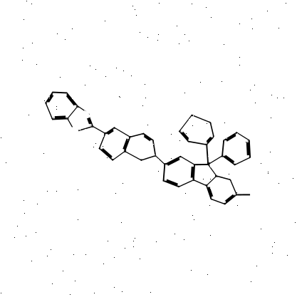 CC1=CC=C2c3ccc(C4C=Cc5cc(-c6nc7ccccc7s6)ccc5C4)cc3C(C3=CCCC=C3)(c3ccccc3)C2C1